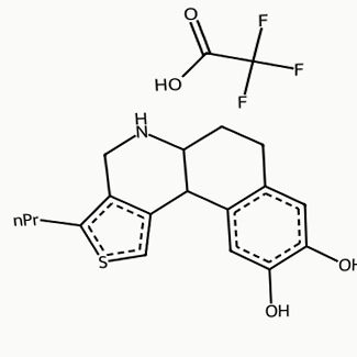 CCCc1scc2c1CNC1CCc3cc(O)c(O)cc3C21.O=C(O)C(F)(F)F